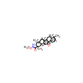 CONC(=O)C1(C)CC[C@]2(C)CC[C@]3(C)C(=CC(=O)[C@@H]4[C@@]5(C)CCCC(C)(C)C5CC[C@]43C)[C@H]2C1